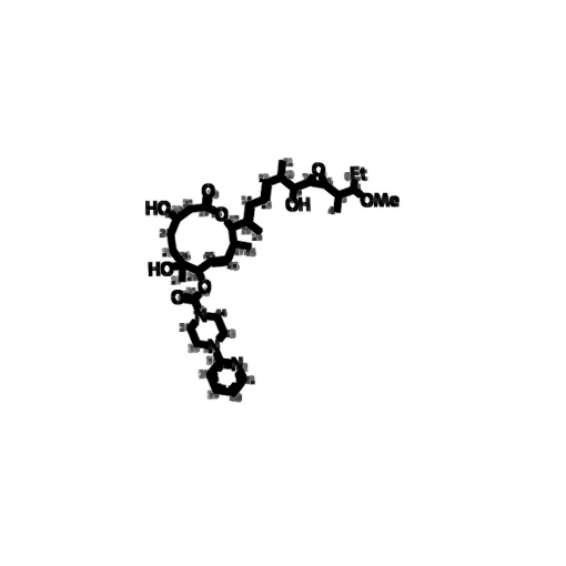 CCC(OC)C(C)C1OC1C(O)C(C)/C=C/C=C(\C)C1OC(=O)CC(O)CCC(C)(O)C(OC(=O)N2CCN(c3ccccn3)CC2)/C=C/C1C